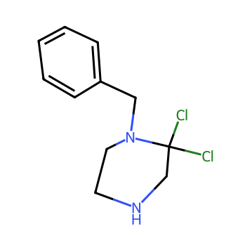 ClC1(Cl)CNCCN1Cc1ccccc1